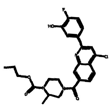 CCCOC(=O)N1CCN(C(=O)c2ccc3c(Cl)cc(-c4ccc(F)c(O)c4)nc3c2)CC1C